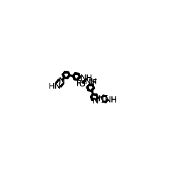 O=C(Nc1ccc(-c2cccc(N3CCNCC3)c2)cc1F)Nc1ccc(-c2ccnc(N3CCNCC3)c2)cc1F